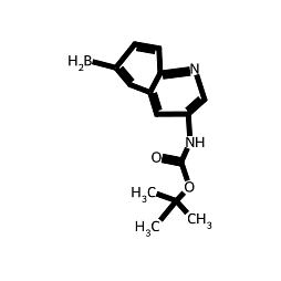 Bc1ccc2ncc(NC(=O)OC(C)(C)C)cc2c1